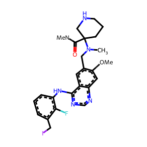 CNC(=O)C1(N(C)Cc2cc3c(Nc4cccc(CI)c4F)ncnc3cc2OC)CCCNC1